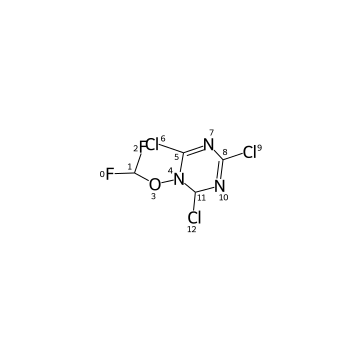 FC(F)ON1C(Cl)=NC(Cl)=NC1Cl